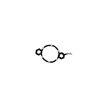 CC(=O)Nc1ccc2c(c1)OCCOCCOc1ccccc1OCCOCCO2